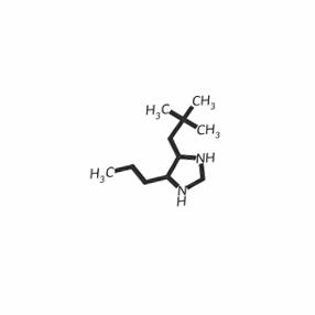 CCCC1NCNC1CC(C)(C)C